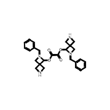 O=C(OC1N(Cc2ccccc2)CC12CNC2)C(=O)OC1N(Cc2ccccc2)CC12CNC2